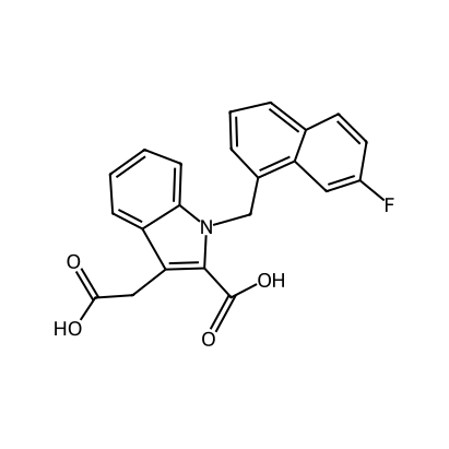 O=C(O)Cc1c(C(=O)O)n(Cc2cccc3ccc(F)cc23)c2ccccc12